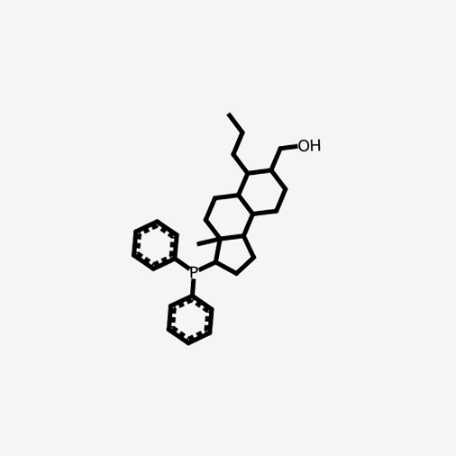 CCCC1C(CO)CCC2C1CCC1(C)C2CCC1P(c1ccccc1)c1ccccc1